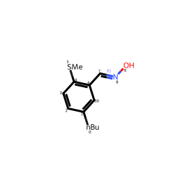 CCCCc1ccc(SC)c(/C=N/O)c1